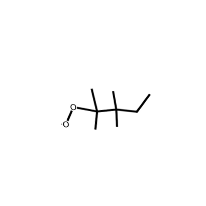 CCC(C)(C)C(C)(C)O[O]